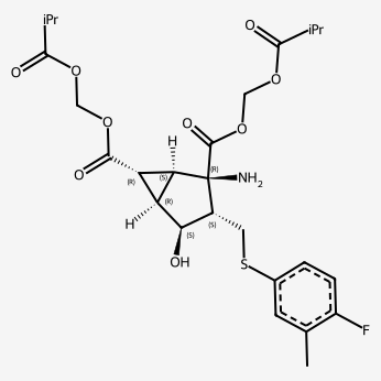 Cc1cc(SC[C@@H]2[C@@H](O)[C@H]3[C@H](C(=O)OCOC(=O)C(C)C)[C@H]3[C@]2(N)C(=O)OCOC(=O)C(C)C)ccc1F